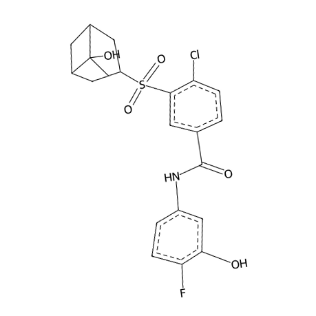 CC1(O)C2CC1CC(S(=O)(=O)c1cc(C(=O)Nc3ccc(F)c(O)c3)ccc1Cl)C2